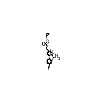 Cn1nc(CCC(=O)OCC2CC2)cc1-c1ccc(F)cc1F